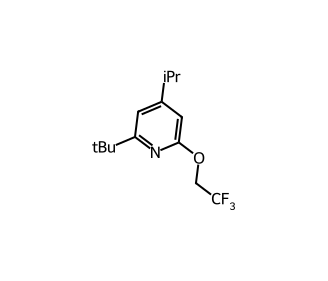 CC(C)c1cc(OCC(F)(F)F)nc(C(C)(C)C)c1